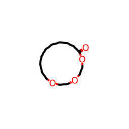 O=C1CCCCCCCCCOCCOCCO1